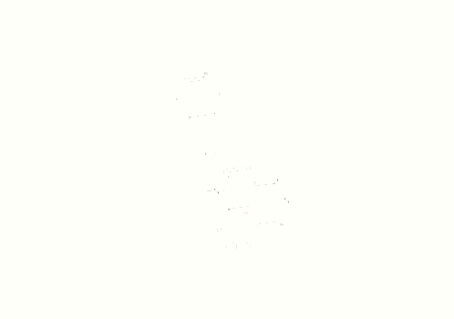 O=CCC(NC(=O)OCc1ccccc1)C1CCNCC1